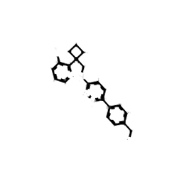 NCc1ccc(-c2ccc(NCC3(c4ncccc4F)CCC3)nn2)cc1